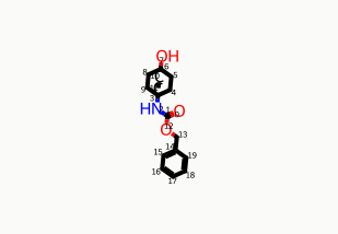 O=C(NC12CCC(O)(CC1)CC2)OCc1ccccc1